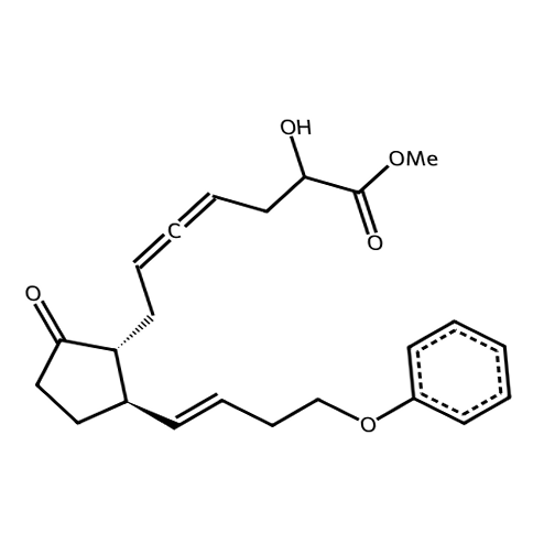 COC(=O)C(O)CC=C=CC[C@H]1C(=O)CC[C@@H]1/C=C/CCOc1ccccc1